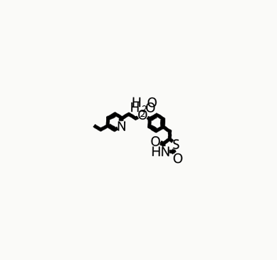 CCc1ccc(CCOc2ccc(CC3SC(=O)NC3=O)cc2)nc1.O.O